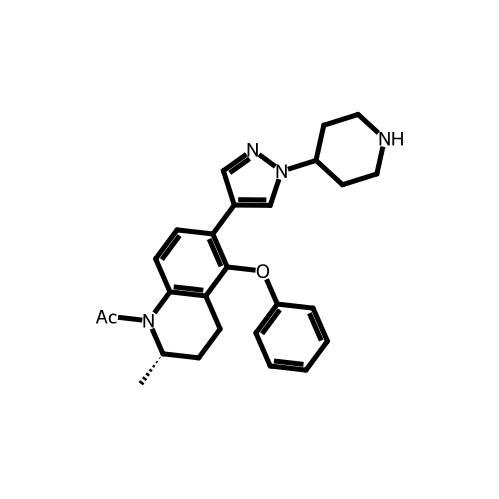 CC(=O)N1c2ccc(-c3cnn(C4CCNCC4)c3)c(Oc3ccccc3)c2CC[C@@H]1C